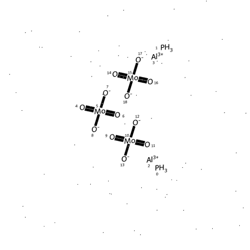 P.P.[Al+3].[Al+3].[O]=[Mo](=[O])([O-])[O-].[O]=[Mo](=[O])([O-])[O-].[O]=[Mo](=[O])([O-])[O-]